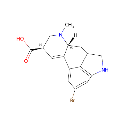 CN1C[C@H](C(=O)O)C=C2c3cc(Br)cc4c3C(CN4)C[C@H]21